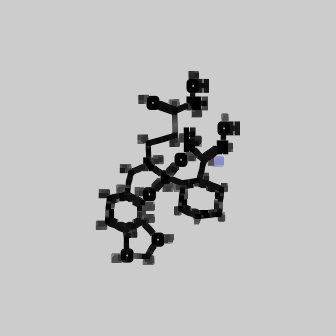 N/C(=N\O)c1ccccc1S(=O)(=O)N(CCC(=O)NO)Cc1ccc2c(c1)OCO2